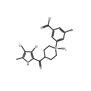 Cc1[nH]c(C(=O)C2CC[N+](N)(c3cc(Br)cc(C(=O)[O-])c3)CC2)c(Cl)c1Cl